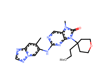 COCCC1(n2c(=O)n(C)c3cnc(Nc4cn5ncnc5cc4C)nc32)CCOCC1